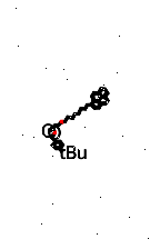 CC(C)(C)c1ccc(COC(=O)CCCCCCCCCCCc2ccc3ccc4cccc5ccc2c3c45)cc1